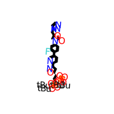 CC(C)(C)OP(=O)(OCC(OP(=O)(OC(C)(C)C)OC(C)(C)C)[C@H]1CC(c2ccc(-c3ccc(N4CC(Cn5ccnn5)OC4=O)cc3F)cn2)=NO1)OC(C)(C)C